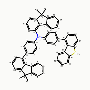 CC1(C)c2ccccc2-c2c(-c3ccc(N(c4ccc(-c5cccc6sc7ccccc7c56)cc4)c4cccc5c4-c4ccccc4C5(C)C)cc3)cccc21